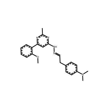 COc1ccccc1-c1cc(NN=CCc2ccc(N(C)C)cc2)nc(C)n1